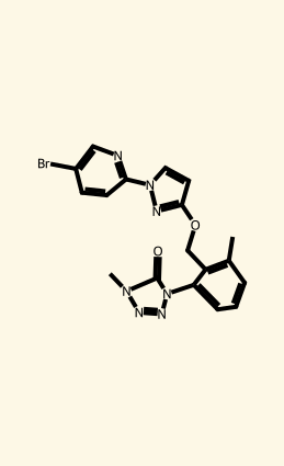 Cc1cccc(-n2nnn(C)c2=O)c1COc1ccn(-c2ccc(Br)cn2)n1